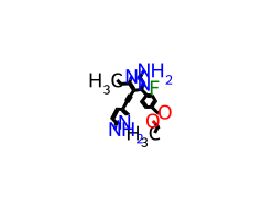 CCOC(=O)c1ccc(-c2nc(N)nc(CC)c2C#Cc2ccc(N)nc2)c(F)c1